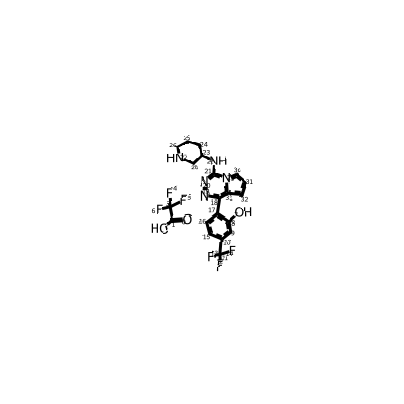 O=C(O)C(F)(F)F.Oc1cc(C(F)(F)F)ccc1-c1nnc(NC2CCCNC2)n2cccc12